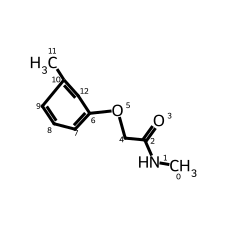 CNC(=O)COc1cccc(C)c1